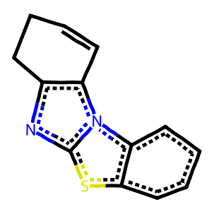 C1=Cc2c(nc3sc4ccccc4n23)CC1